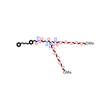 COCCOCCOCCOCCOCCOCC(=O)NCC[C@H](NC(=O)COCCOCCOCCOCCOCCOC)C(=O)NCCC(=O)ONC(=O)Cc1ccc(CCCCc2ccccc2)cc1